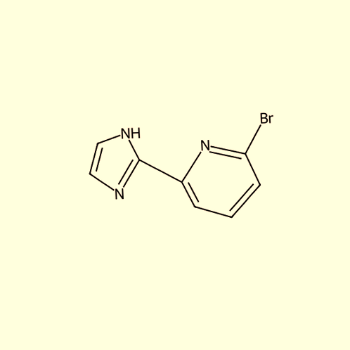 Brc1cccc(-c2ncc[nH]2)n1